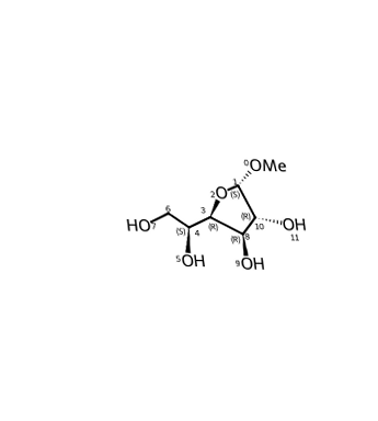 CO[C@H]1O[C@H]([C@@H](O)CO)[C@H](O)[C@H]1O